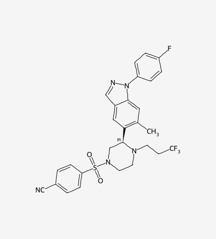 Cc1cc2c(cnn2-c2ccc(F)cc2)cc1[C@@H]1CN(S(=O)(=O)c2ccc(C#N)cc2)CCN1CCC(F)(F)F